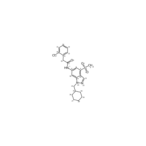 CS(=O)(=O)c1cc(NC(=O)Cc2ccccc2Cl)cc2c1cnn2CC1CCCCC1